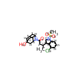 CC(CC(=O)N1C2CC3CC1CC(O)(C3)C2)c1cn(S(C)(=O)=O)c2cccc(Cl)c12